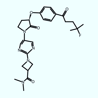 CN(C)C(=O)C1CN(c2ncc(N3CC[C@@H](Oc4ccc(C(=O)CCC(C)(C)F)cc4)C3=O)cn2)C1